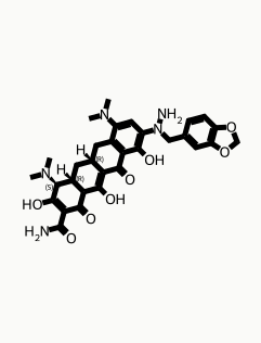 CN(C)c1cc(N(N)Cc2ccc3c(c2)OCO3)c(O)c2c1C[C@H]1C[C@@H]3C(C(=O)C(C(N)=O)=C(O)[C@H]3N(C)C)C(O)=C1C2=O